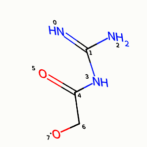 N=C(N)NC(=O)C[O]